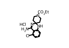 CCOC(=O)N1CCC2(CC1)N=C(N)c1c(Cl)cccc1N2.Cl